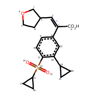 O=C(O)/C(=C/C1CCOC1)c1ccc(S(=O)(=O)C2CC2)c(C2CC2)c1